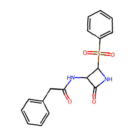 O=C(Cc1ccccc1)NC1C(=O)NC1S(=O)(=O)c1ccccc1